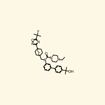 CCN1CCN(C(=O)N(CC23CCC(c4noc(C(C)(C)F)n4)(CC2)CC3)c2cccc(-c3ccc(C(C)(C)O)cc3)c2)CC1